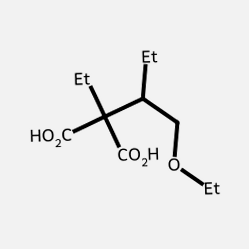 CCOCC(CC)C(CC)(C(=O)O)C(=O)O